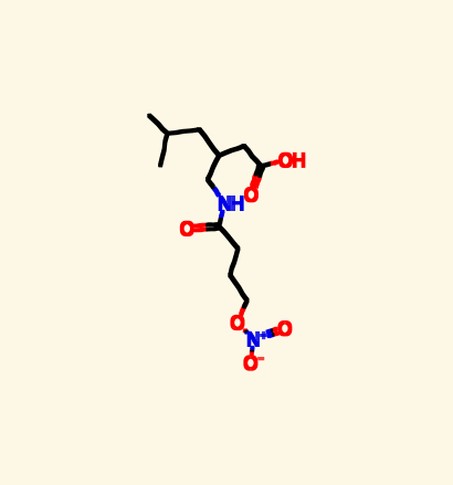 CC(C)CC(CNC(=O)CCCO[N+](=O)[O-])CC(=O)O